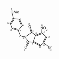 COc1ccc(CN2C(=O)c3cc(Br)cc([N+](=O)[O-])c3C2=O)cc1